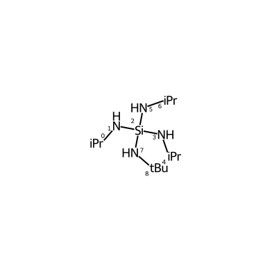 CC(C)N[Si](NC(C)C)(NC(C)C)NC(C)(C)C